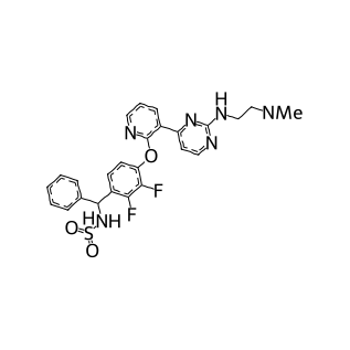 CNCCNc1nccc(-c2cccnc2Oc2ccc(C(N[SH](=O)=O)c3ccccc3)c(F)c2F)n1